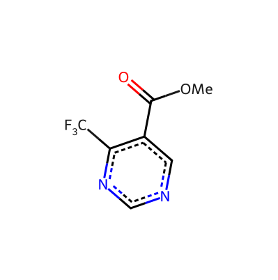 COC(=O)c1cncnc1C(F)(F)F